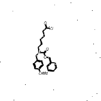 COc1ccc(CN(CCCCCC(=O)Cl)C(=O)OCc2ccccc2)cc1